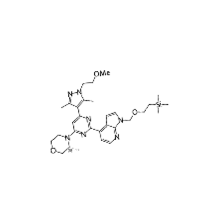 COCCn1nc(C)c(-c2cc(N3CCOC[C@H]3C)nc(-c3ccnc4c3ccn4COCC[Si](C)(C)C)n2)c1C